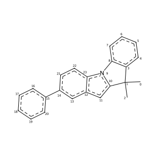 CC1(C)c2ccccc2-n2c1cc1cc(-c3ccccc3)ccc12